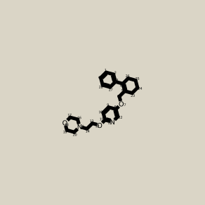 c1ccc(C2=C(COc3ccc(OCCN4CCOCC4)nc3)CCCC2)cc1